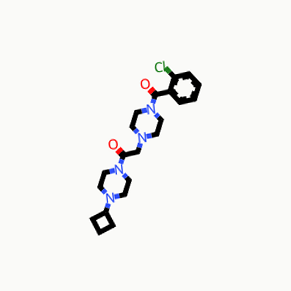 O=C(CN1CCN(C(=O)c2ccccc2Cl)CC1)N1CCN(C2CCC2)CC1